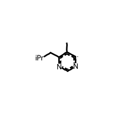 Cc1[c]ncnc1CC(C)C